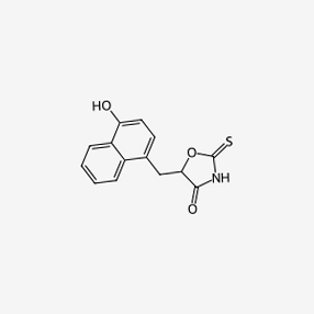 O=C1NC(=S)OC1Cc1ccc(O)c2ccccc12